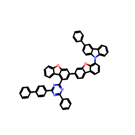 c1ccc(-c2ccc(-c3nc(-c4ccccc4)nc(-c4cc(-c5ccc6c(c5)oc5c(-n7c8ccccc8c8cc(-c9ccccc9)ccc87)cccc56)cc5oc6ccccc6c45)n3)cc2)cc1